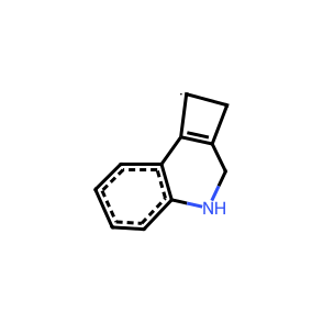 [CH]1CC2=C1c1ccccc1NC2